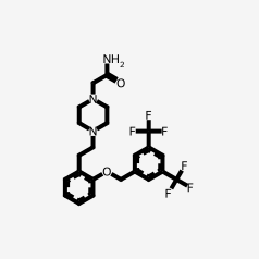 NC(=O)CN1CCN(CCc2ccccc2OCc2cc(C(F)(F)F)cc(C(F)(F)F)c2)CC1